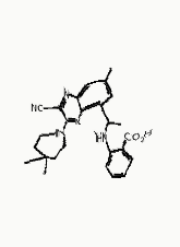 Cc1cc(C(C)Nc2ccccc2C(=O)O)c2nc(N3CCC(C)(C)CC3)c(C#N)nc2c1